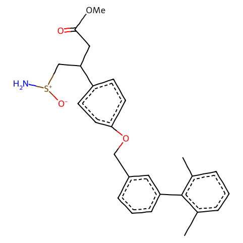 COC(=O)CC(C[S+](N)[O-])c1ccc(OCc2cccc(-c3c(C)cccc3C)c2)cc1